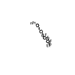 CCCC1C=CC(/C=C/C2CCC(COc3ccc(-c4ccc(OCC)c(F)c4F)c(F)c3F)CC2)CC1